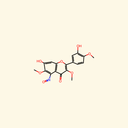 COc1ccc(-c2oc3cc(O)c(OC)c(N=O)c3c(=O)c2OC)cc1O